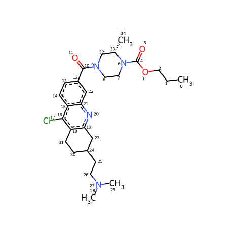 CCCOC(=O)N1CCN(C(=O)c2ccc3c(Cl)c4c(nc3c2)CC(CCN(C)C)CC4)C[C@@H]1C